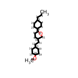 CCCC1CCC(C2CCC(CCC3CCC(OC)CC3)CO2)CC1